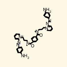 CN(CCC[n+]1ccccc1N=Nc1ccc(N)cc1)C(=O)c1ccc(C(=O)N(C)CCC[n+]2ccccc2/N=N/c2ccc(N)cc2)cc1